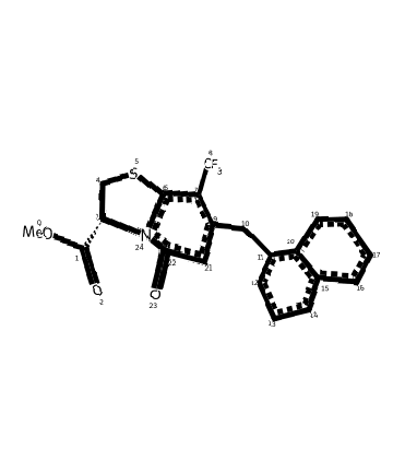 COC(=O)[C@@H]1CSc2c(C(F)(F)F)c(Cc3cccc4ccccc34)cc(=O)n21